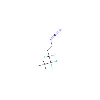 C[Si](C)(C)C(F)(F)C(F)(F)CCN=[N+]=[N-]